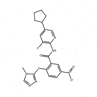 Cn1cnnc1Sc1ccc([N+](=O)[O-])cc1C(=O)Nc1ncc(C2CCCC2)cc1F